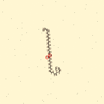 CC/C=C\C/C=C\C/C=C\CCCCCCCC(=O)OCCCCCCCCCCCCCCC(C)C